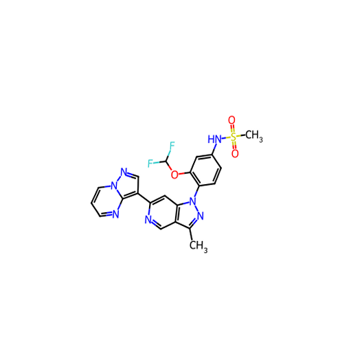 Cc1nn(-c2ccc(NS(C)(=O)=O)cc2OC(F)F)c2cc(-c3cnn4cccnc34)ncc12